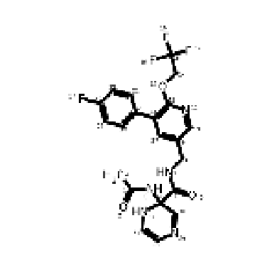 CC(=O)NC1(C(=O)NCc2cnc(OCC(F)(F)F)c(-c3ccc(F)cc3)c2)C=NC=CN1